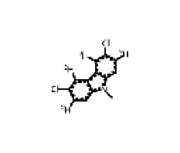 [2H]c1cc2c(c([2H])c1Cl)c1c([2H])c(Cl)c([2H])cc1n2C